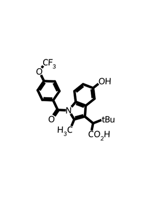 Cc1c(C(C(=O)O)C(C)(C)C)c2cc(O)ccc2n1C(=O)c1ccc(OC(F)(F)F)cc1